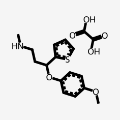 CNCCC(Oc1ccc(OC)cc1)c1cccs1.O=C(O)C(=O)O